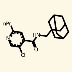 [CH2]CCc1cc(C(=O)NCC23CC4CC(CC(C4)C2)C3)c(Cl)cn1